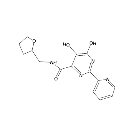 O=C(NCC1CCCO1)c1nc(-c2ccccn2)nc(O)c1O